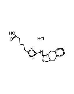 Cl.O=C(O)CCCCc1csc(N=C2SCC3Cc4ccccc4CN23)n1